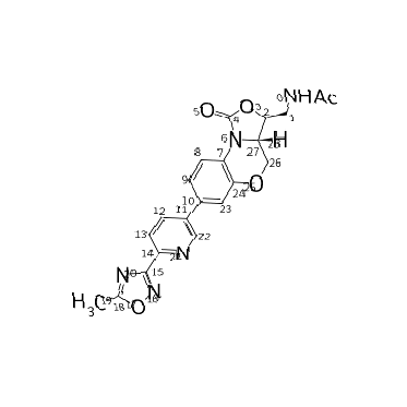 CC(=O)NC[C@@H]1OC(=O)N2c3ccc(-c4ccc(-c5noc(C)n5)nc4)cc3OC[C@@H]12